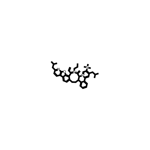 C=C/C1=[N+](\CCC)C(=C)C2C(CCc3ccc4c(oc5nc(CC(C)C)ccc54)c31)c1ccccc1-c1cc(CC(C)C)c([Si](C)(C)C)c[n+]12